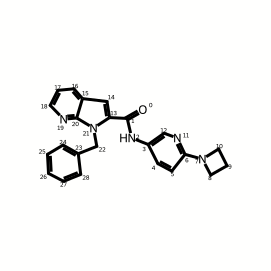 O=C(Nc1ccc(N2CCC2)nc1)c1cc2cccnc2n1Cc1ccccc1